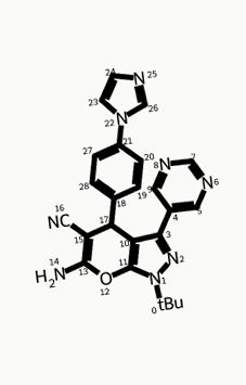 CC(C)(C)n1nc(-c2cncnc2)c2c1OC(N)=C(C#N)C2c1ccc(-n2ccnc2)cc1